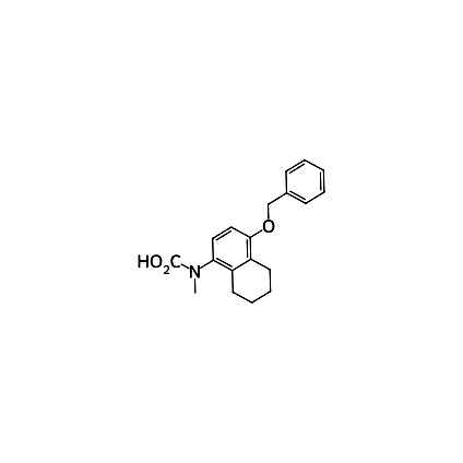 CN(C(=O)O)c1ccc(OCc2ccccc2)c2c1CCCC2